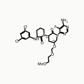 COCCOCO[C@H]1C[C@@H](N2CCCC(Nc3cc(Cl)cc(Cl)c3)C2=O)C(=O)N(c2ncnc(N)c2F)C1